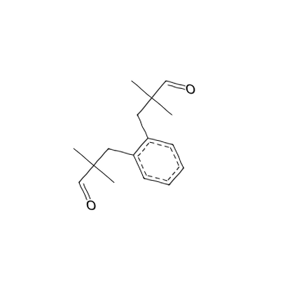 CC(C)(C=O)Cc1ccccc1CC(C)(C)C=O